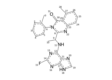 Cc1ccccc1-n1c(C(C)Nc2nc(F)nc3[nH]cnc23)nc2cccc(C)c2c1=O